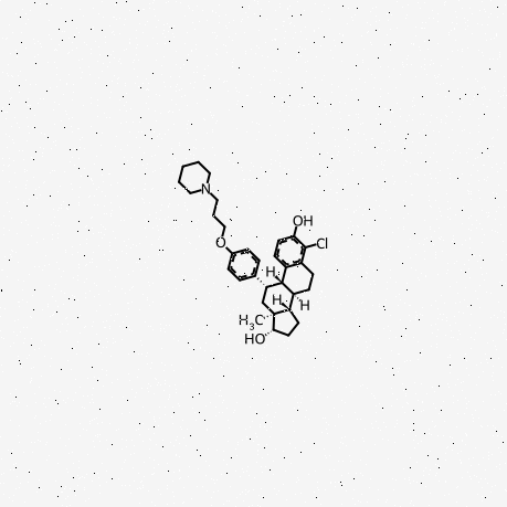 C[C@]12C[C@H](c3ccc(OCCCN4CCCCC4)cc3)[C@@H]3c4ccc(O)c(Cl)c4CC[C@H]3[C@@H]1CC[C@@H]2O